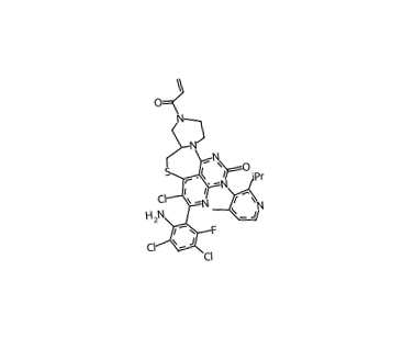 C=CC(=O)N1CCN2c3nc(=O)n(-c4c(C)ccnc4C(C)C)c4nc(-c5c(N)c(Cl)cc(Cl)c5F)c(Cl)c(c34)SCC2C1